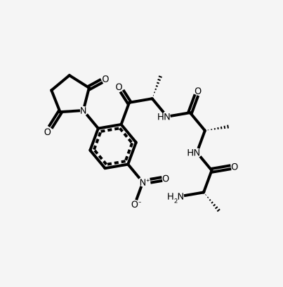 C[C@H](N)C(=O)N[C@@H](C)C(=O)N[C@@H](C)C(=O)c1cc([N+](=O)[O-])ccc1N1C(=O)CCC1=O